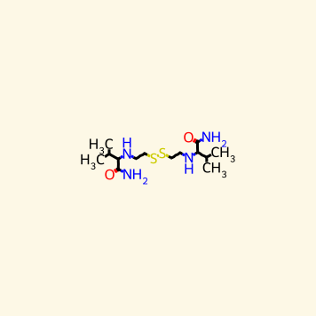 CC(C)C(NCCSSCCNC(C(N)=O)C(C)C)C(N)=O